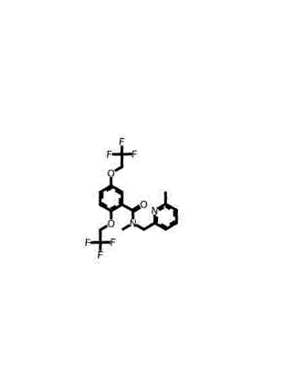 Cc1cccc(CN(C)C(=O)c2cc(OCC(F)(F)F)ccc2OCC(F)(F)F)n1